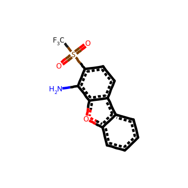 Nc1c(S(=O)(=O)C(F)(F)F)ccc2c1oc1ccccc12